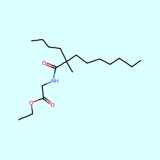 CCCCCCCC(C)(CCCC)C(=O)NCC(=O)OCC